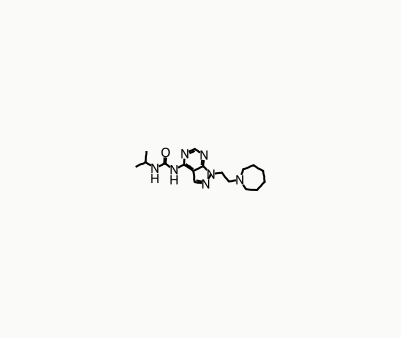 CC(C)NC(=O)Nc1ncnc2c1cnn2CCN1CCCCCC1